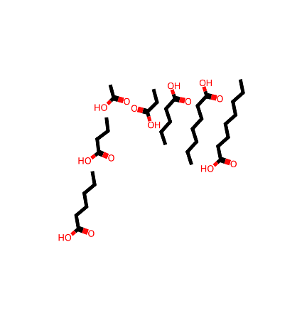 CC(=O)O.CCC(=O)O.CCCC(=O)O.CCCCC(=O)O.CCCCCC(=O)O.CCCCCCC(=O)O.CCCCCCCC(=O)O